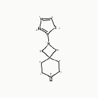 c1nnc(N2CC3(CCNCC3)C2)s1